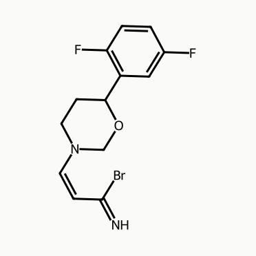 N=C(Br)/C=C\N1CCC(c2cc(F)ccc2F)OC1